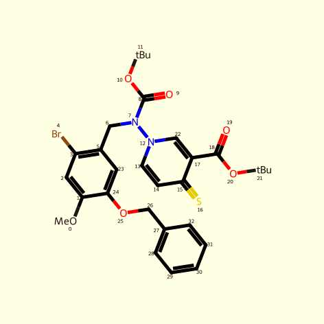 COc1cc(Br)c(CN(C(=O)OC(C)(C)C)n2ccc(=S)c(C(=O)OC(C)(C)C)c2)cc1OCc1ccccc1